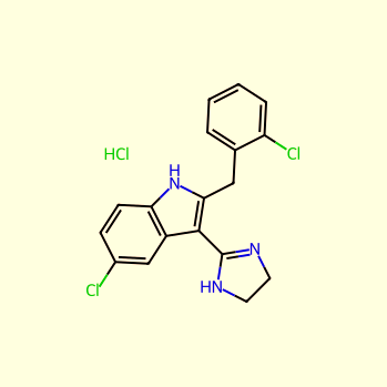 Cl.Clc1ccc2[nH]c(Cc3ccccc3Cl)c(C3=NCCN3)c2c1